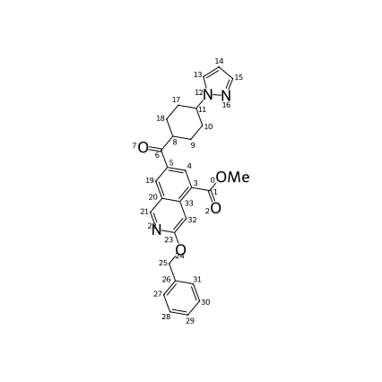 COC(=O)c1cc(C(=O)C2CCC(n3cccn3)CC2)cc2cnc(OCc3ccccc3)cc12